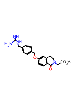 N=C(N)NCc1ccc(COc2ccc3c(c2)CCN(CC(=O)O)C3=O)cc1